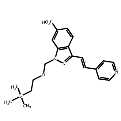 C[Si](C)(C)CCOCn1nc(/C=C/c2ccncc2)c2ccc(C(=O)O)cc21